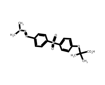 CN(C)N=Nc1ccc(S(=O)(=O)c2ccc(OC(C)(C)C(=O)O)cc2)cc1